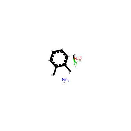 CCl.Cc1ccccc1C.N.O